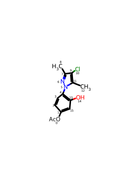 CC(=O)Oc1ccc(-n2nc(C)c(Cl)c2C)c(O)c1